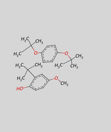 CC(C)(C)Oc1ccc(OC(C)(C)C)cc1.COc1ccc(O)c(C(C)(C)C)c1